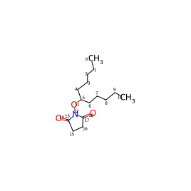 CCCCCC(CCCCC)ON1C(=O)CCC1=O